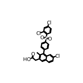 Cc1c(CC(=O)O)cc2ccc(Cl)cc2c1-c1ccc(S(=O)(=O)c2ccc(Cl)cc2Cl)cc1